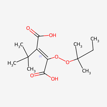 CCC(C)(C)OO/C(C(=O)O)=C(\C(=O)O)C(C)(C)C